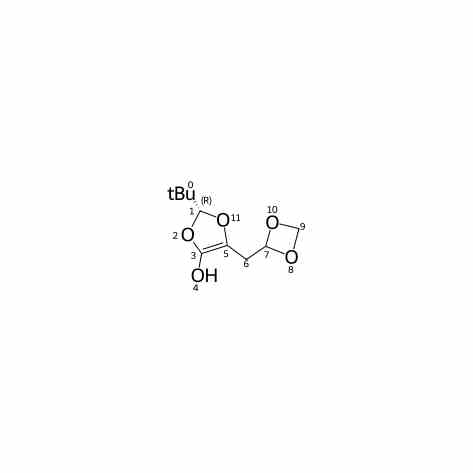 CC(C)(C)[C@H]1OC(O)=C(CC2OCO2)O1